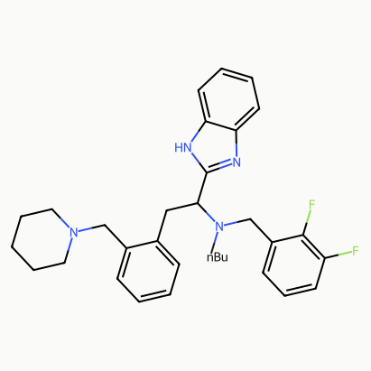 CCCCN(Cc1cccc(F)c1F)C(Cc1ccccc1CN1CCCCC1)c1nc2ccccc2[nH]1